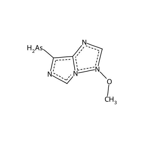 COn1cnc2c([AsH2])ncn21